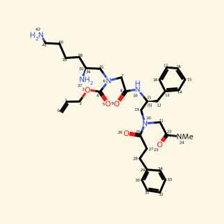 C=CCOC(=O)N(CC(=O)N[C@@H](Cc1ccccc1)CN(CC(=O)NC)C(=O)CCc1ccccc1)C[C@@H](N)CCCCN